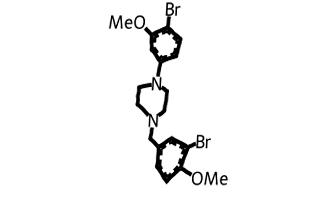 COc1ccc(CN2CCN(c3ccc(Br)c(OC)c3)CC2)cc1Br